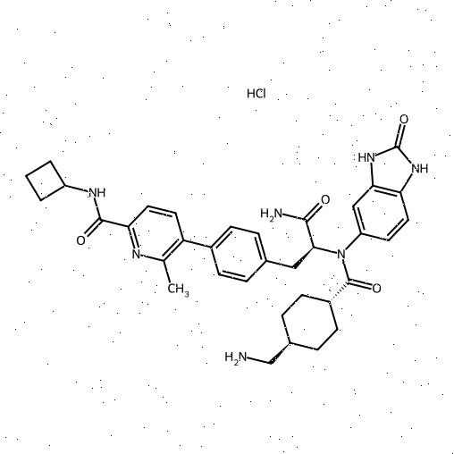 Cc1nc(C(=O)NC2CCC2)ccc1-c1ccc(C[C@@H](C(N)=O)N(c2ccc3[nH]c(=O)[nH]c3c2)C(=O)[C@H]2CC[C@H](CN)CC2)cc1.Cl